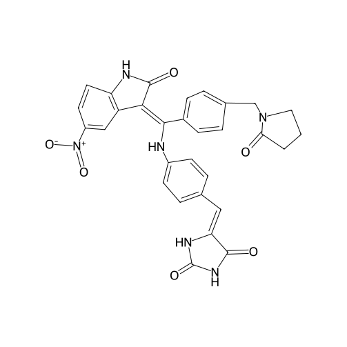 O=C1NC(=O)/C(=C/c2ccc(NC(=C3C(=O)Nc4ccc([N+](=O)[O-])cc43)c3ccc(CN4CCCC4=O)cc3)cc2)N1